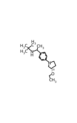 CCO[C@H]1CCN(c2ccc(C(C)NC(C)(C)C)cc2)C1